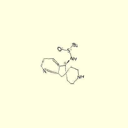 CC(C)(C)[S+]([O-])N[C@@H]1c2cccnc2CC12CCNCC2